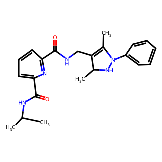 CC1=C(CNC(=O)c2cccc(C(=O)NC(C)C)n2)C(C)NN1c1ccccc1